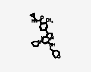 Cc1cc(-c2cnn3c(NCC4CCOCC4)cc(N4CCCC4)nc23)ccc1C(=O)NC1CC1